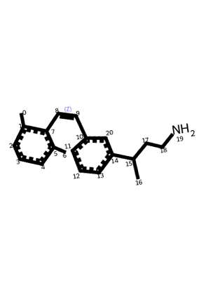 Cc1cccc(C)c1/C=C\c1cccc(C(C)CCN)c1